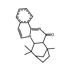 CC12CCC(C1)C(C)(C)C1C2C(=O)N=C2c3ccccc3C=CN21